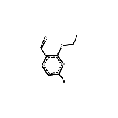 CCOc1cc(C)ccc1C=O